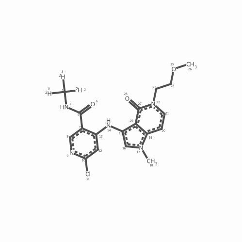 [2H]C([2H])([2H])NC(=O)c1cnc(Cl)cc1Nc1cn(C)c2ccn(CCOC)c(=O)c12